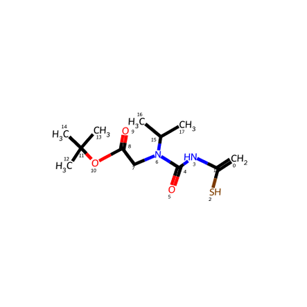 C=C(S)NC(=O)N(CC(=O)OC(C)(C)C)C(C)C